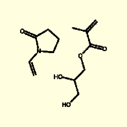 C=C(C)C(=O)OCC(O)CO.C=CN1CCCC1=O